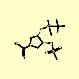 CC(C)(C)[Si](C)(C)O[C@H]1CN(C(=O)O)C[C@@H]1OS(C)(=O)=O